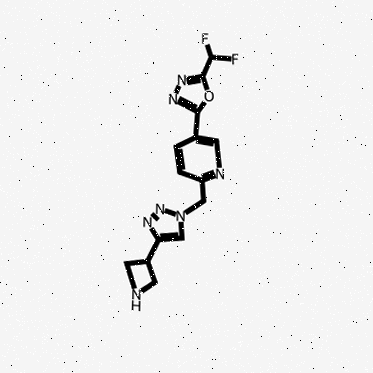 FC(F)c1nnc(-c2ccc(Cn3cc(C4CNC4)nn3)nc2)o1